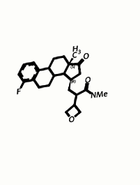 CNC(=O)C(C[C@@H]1CC(=O)[C@@]2(C)CCC3c4cccc(F)c4CCC3C12)C1COC1